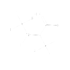 C=C(F)C(N(F)C(F)(F)F)C(F)(F)F